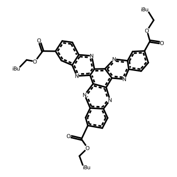 CCC(C)COC(=O)c1ccc2nc3c4nc5ccc(C(=O)OCC(C)CC)cc5nc4c4nc5cc(C(=O)OCC(C)CC)ccc5nc4c3nc2c1